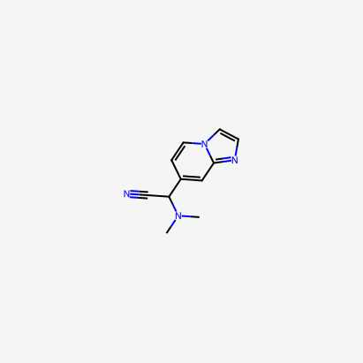 CN(C)C(C#N)c1ccn2ccnc2c1